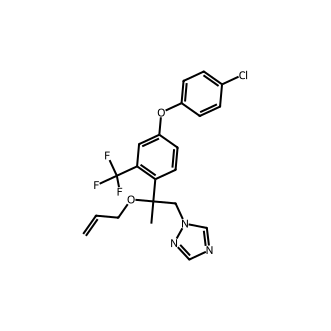 C=CCOC(C)(Cn1cncn1)c1ccc(Oc2ccc(Cl)cc2)cc1C(F)(F)F